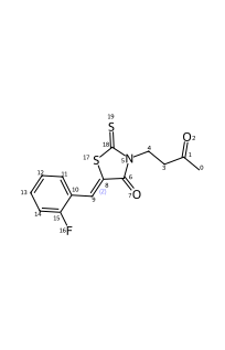 CC(=O)CCN1C(=O)/C(=C/c2ccccc2F)SC1=S